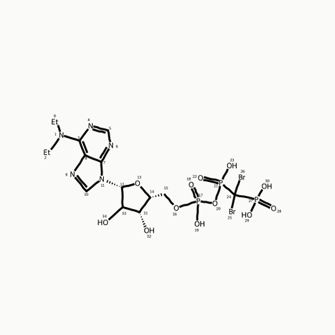 CCN(CC)c1ncnc2c1ncn2[C@@H]1O[C@H](COP(=O)(O)OP(=O)(O)C(Br)(Br)P(=O)(O)O)[C@H](O)C1O